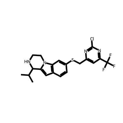 CC(C)C1NCCn2c1cc1ccc(SCc3cc(C(F)(F)F)nc(Cl)n3)cc12